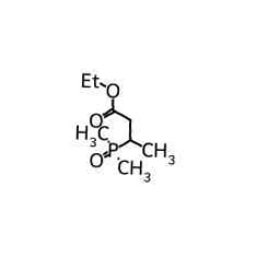 CCOC(=O)CC(C)P(C)(C)=O